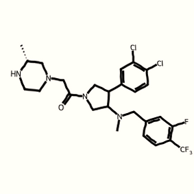 C[C@@H]1CN(CC(=O)N2CC(c3ccc(Cl)c(Cl)c3)C(N(C)Cc3ccc(C(F)(F)F)c(F)c3)C2)CCN1